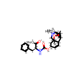 COC(=O)[C@H](Cc1ccccc1)NC(=O)O[C@H]1C=C[C@@]23CCN(C)Cc4ccc(OC)c(c42)O[C@H]3C1